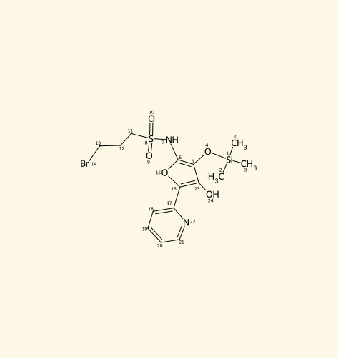 C[Si](C)(C)Oc1c(NS(=O)(=O)CCCBr)oc(-c2ccccn2)c1O